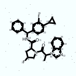 CC(C(=O)N1CC(F)CC1C(=O)NC(c1ccccc1)c1ccc(C2CC2)c(F)c1)n1cnc2ccccc21